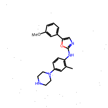 COc1cccc(-c2cnc(Nc3ccc(N4CCNCC4)cc3C)o2)c1